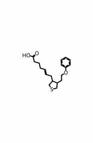 O=C(O)CCC/C=C/CC1CSCC1CCOc1ccccc1